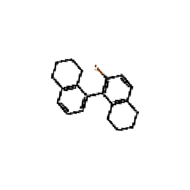 Sc1ccc2c(c1-c1cccc3c1CCCC3)CCCC2